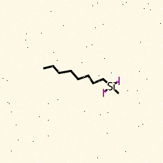 CCCCCCCC[Si](C)(I)I